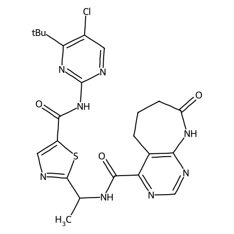 CC(NC(=O)c1ncnc2c1CCCC(=O)N2)c1ncc(C(=O)Nc2ncc(Cl)c(C(C)(C)C)n2)s1